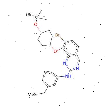 CSCc1cccc(Nc2ncc3ccc(Br)c(O[C@H]4CC[C@@H](O[Si](C)(C)C(C)(C)C)CC4)c3n2)c1